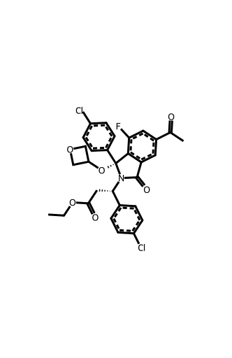 CCOC(=O)C[C@@H](c1ccc(Cl)cc1)N1C(=O)c2cc(C(C)=O)cc(F)c2[C@]1(OC1COC1)c1ccc(Cl)cc1